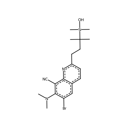 CN(C)c1c(Br)cc2ccc(CCC(C)(C)[Si](C)(C)O)nc2c1C#N